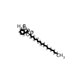 CCCCCCCCCCCCCCCCCC(=O)OC(=O)c1ccccc1OC